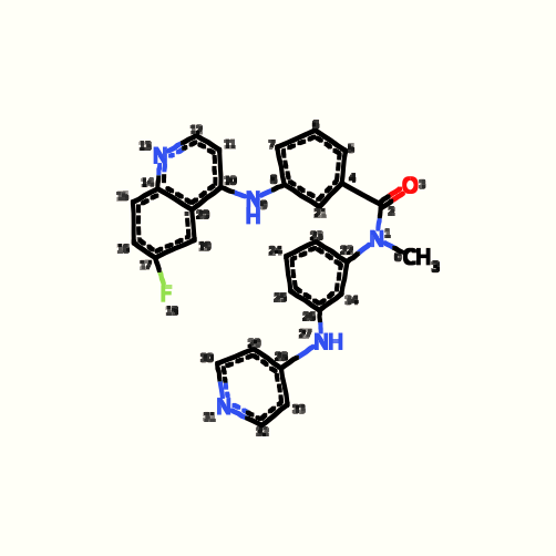 CN(C(=O)c1cccc(Nc2ccnc3ccc(F)cc23)c1)c1cccc(Nc2ccncc2)c1